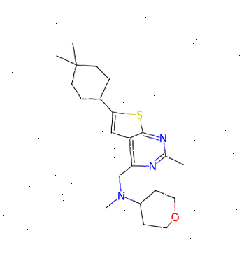 Cc1nc(CN(C)C2CCOCC2)c2cc(C3CCC(C)(C)CC3)sc2n1